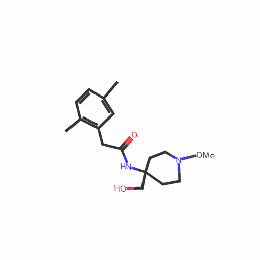 CON1CCC(CO)(NC(=O)Cc2cc(C)ccc2C)CC1